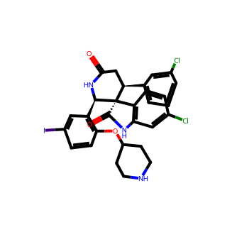 O=C1C[C@@H](c2cccc(Cl)c2)[C@]2(C(=O)Nc3cc(Cl)ccc32)[C@@H](c2cc(I)ccc2OC2CCNCC2)N1